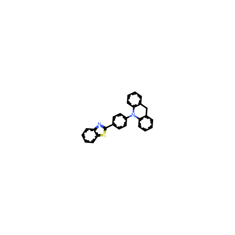 c1ccc2c(c1)Cc1ccccc1N2c1ccc(-c2nc3ccccc3s2)cc1